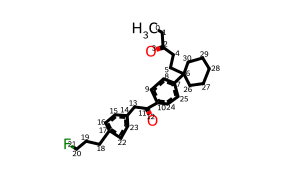 CCC(=O)CCC1(c2ccc(C(=O)Cc3ccc(CCCF)cc3)cc2)CCCCC1